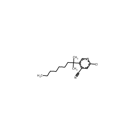 CCCCCCCC(C)(C)c1cnc(Cl)cc1C#N